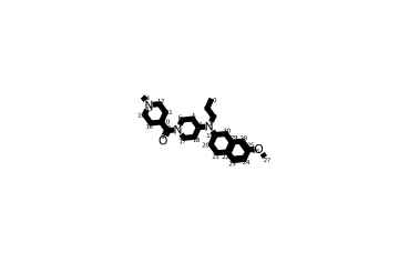 CCCN(C1CCN(C(=O)C2CCN(C)CC2)CC1)C1CCc2ccc(OC)cc2C1